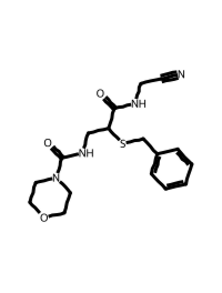 N#CCNC(=O)C(CNC(=O)N1CCOCC1)SCc1ccccc1